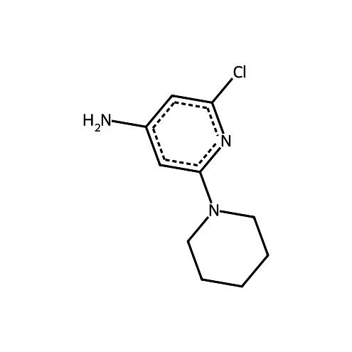 Nc1cc(Cl)nc(N2CCCCC2)c1